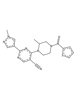 CC1CN(C(=O)c2cccs2)CCN1c1nc(-c2cnn(C)c2)ncc1C#N